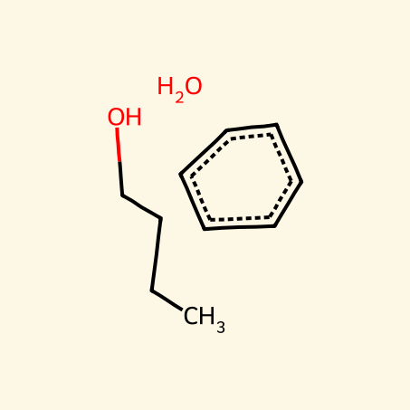 CCCCO.O.c1ccccc1